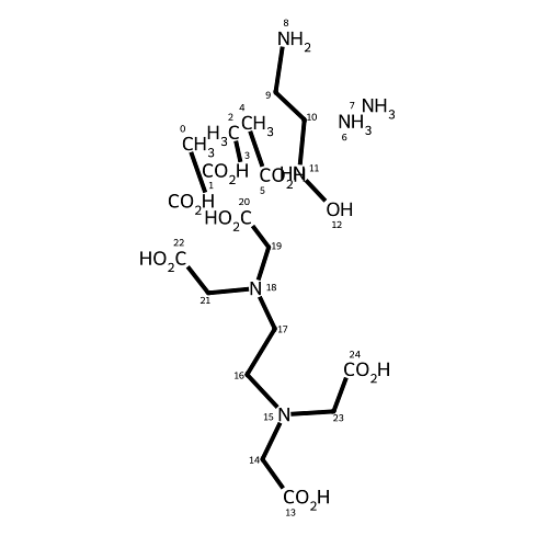 CC(=O)O.CC(=O)O.CC(=O)O.N.N.NCCNO.O=C(O)CN(CCN(CC(=O)O)CC(=O)O)CC(=O)O